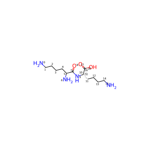 NCCCCC(N)C(=O)N[C@@H](CCCCN)C(=O)O